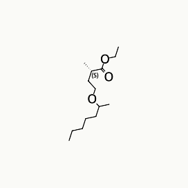 CCCCCC(C)OCC[C@H](C)C(=O)OCC